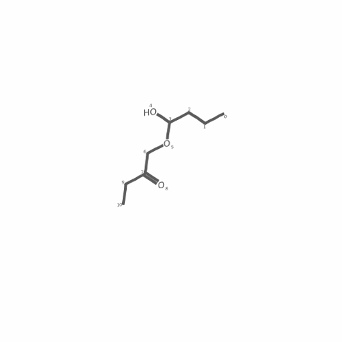 CCCC(O)OCC(=O)CC